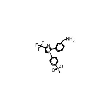 CS(=O)(=O)c1ccc(-n2cc(C(F)(F)F)nc2-c2cccc(CN)c2)cc1